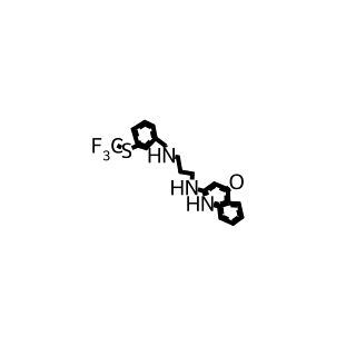 O=c1cc(NCCCNCc2cccc(SC(F)(F)F)c2)[nH]c2ccccc12